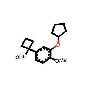 COc1ccc(C2(C=O)CCC2)cc1OC1CCCC1